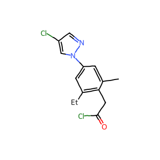 CCc1cc(-n2cc(Cl)cn2)cc(C)c1CC(=O)Cl